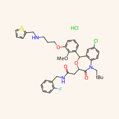 COc1c(OCCCNCc2cccs2)cccc1C1OC(CC(=O)NCc2ccccc2F)C(=O)N(CC(C)(C)C)c2ccc(Cl)cc21.Cl